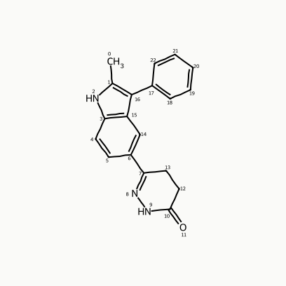 Cc1[nH]c2ccc(C3=NNC(=O)CC3)cc2c1-c1ccccc1